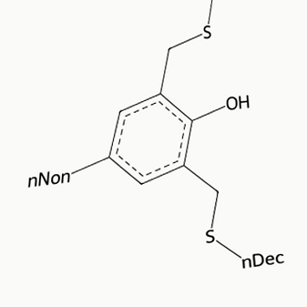 CCCCCCCCCCSCc1cc(CCCCCCCCC)cc(CSCCCCCCCCCC)c1O